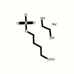 CCCCCCCCCCCCOS(=O)(=O)[O-].OCCO.[Na+]